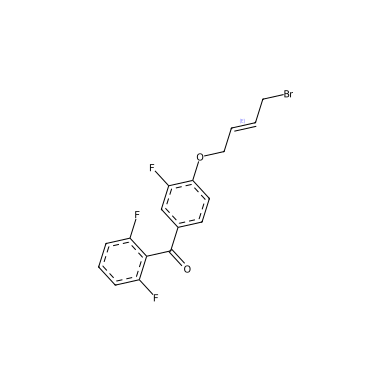 O=C(c1ccc(OC/C=C/CBr)c(F)c1)c1c(F)cccc1F